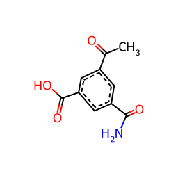 CC(=O)c1cc(C(N)=O)cc(C(=O)O)c1